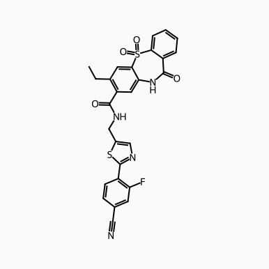 CCc1cc2c(cc1C(=O)NCc1cnc(-c3ccc(C#N)cc3F)s1)NC(=O)c1ccccc1S2(=O)=O